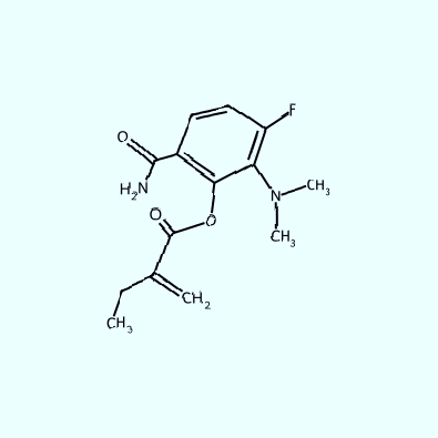 C=C(CC)C(=O)Oc1c(C(N)=O)ccc(F)c1N(C)C